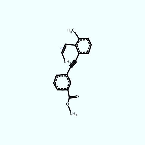 C/C=C\c1c(C)cccc1C#Cc1cccc(C(=O)OC)c1